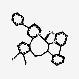 C=C1C2C(CCc3c(ccc(F)c3F)-c3cc(-c4ccccc4)cc[n+]31)c1ccccc1-c1cccc[n+]12